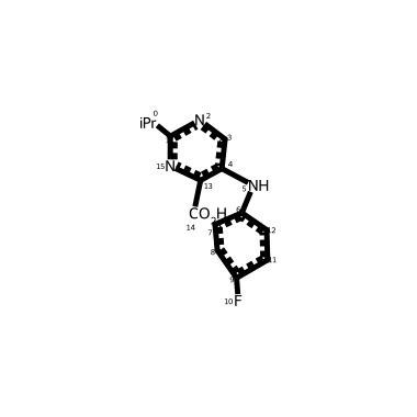 CC(C)c1ncc(Nc2ccc(F)cc2)c(C(=O)O)n1